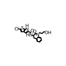 O=C(NC1Cc2ccccc2N(CCCO)C1=O)c1cc2cc(Cl)sc2[nH]1